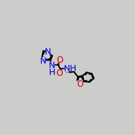 O=C(N[CH]Cc1coc2ccccc12)C(=O)Nc1cnccn1